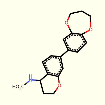 O=C(O)NC1CCOc2cc(-c3ccc4c(c3)OCCCO4)ccc21